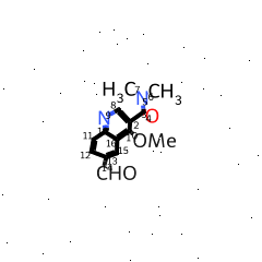 COc1c(C(=O)N(C)C)cnc2ccc(C=O)cc12